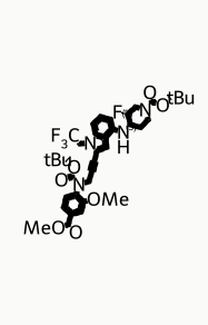 COC(=O)c1ccc(N(CC#Cc2cc3c(N[C@H]4CCN(C(=O)OC(C)(C)C)C[C@H]4F)cccc3n2CC(F)(F)F)C(=O)OC(C)(C)C)c(OC)c1